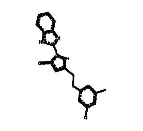 Cc1cc(Cl)cc(SCc2cc(=O)n(-c3nc4ccccc4[nH]3)[nH]2)c1